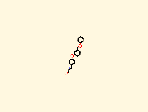 O=C/C=C/c1ccc(Oc2cccc(COc3ccccc3)c2)cc1